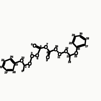 CC(OOOC(=O)OC(=O)OOOC(C)Oc1ccccc1)Oc1ccccc1